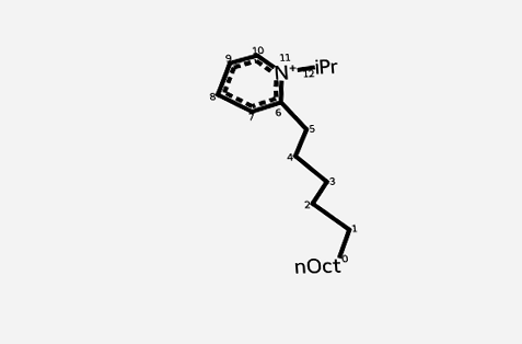 CCCCCCCCCCCCCc1cccc[n+]1C(C)C